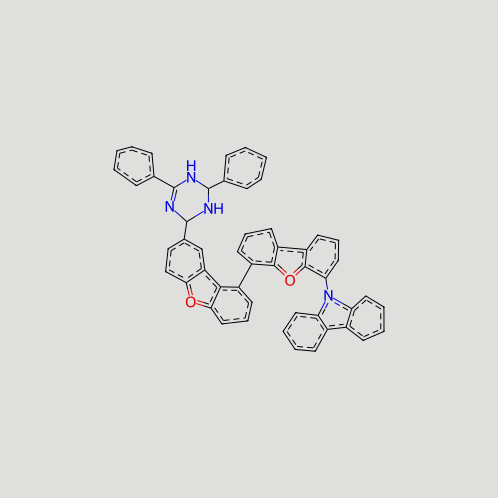 c1ccc(C2=NC(c3ccc4oc5cccc(-c6cccc7c6oc6c(-n8c9ccccc9c9ccccc98)cccc67)c5c4c3)NC(c3ccccc3)N2)cc1